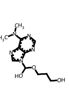 CN(C)c1ncnc2c1ncn2C(O)OCCCO